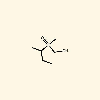 CCC(C)P(C)(=O)CO